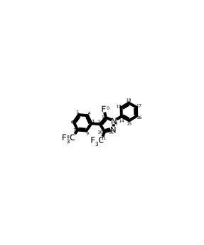 Fc1c(-c2cccc(C(F)(F)F)c2)c(C(F)(F)F)nn1-c1ccccc1